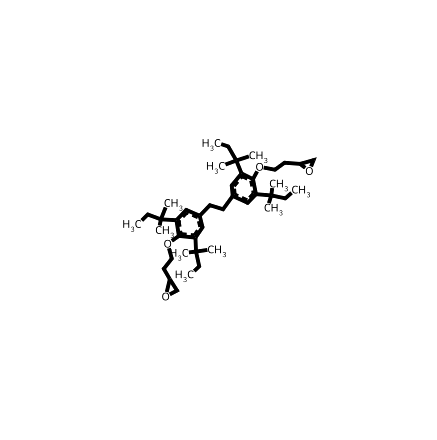 CCC(C)(C)c1cc(CCc2cc(C(C)(C)CC)c(OCCC3CO3)c(C(C)(C)CC)c2)cc(C(C)(C)CC)c1OCCC1CO1